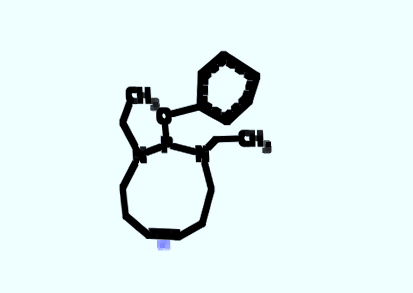 CCN1CC/C=C\CCN(CC)P1Oc1ccccc1